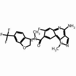 CN(C(=O)c1cc2c(cc1F)nc(N)c1cnn(C)c12)[C@H]1COc2cc(C(F)(F)F)ccc21